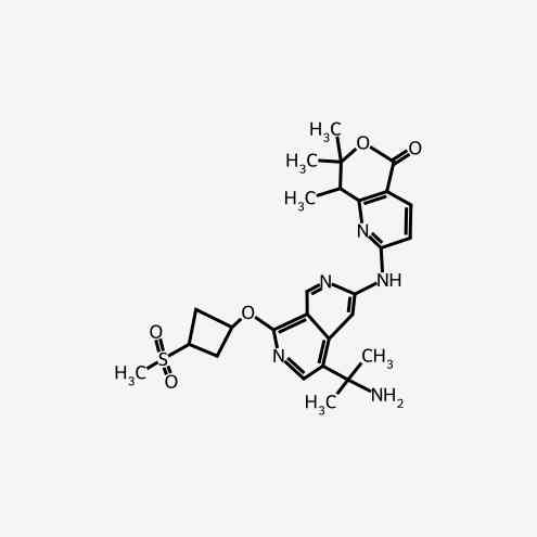 CC1c2nc(Nc3cc4c(C(C)(C)N)cnc(OC5CC(S(C)(=O)=O)C5)c4cn3)ccc2C(=O)OC1(C)C